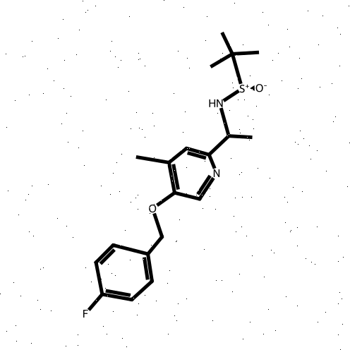 Cc1cc(C(C)N[S@+]([O-])C(C)(C)C)ncc1OCc1ccc(F)cc1